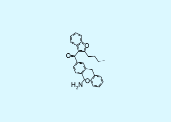 CCCCc1oc2ccccc2c1C(=O)c1ccc(C(N)=O)c(Cc2ccccc2)c1